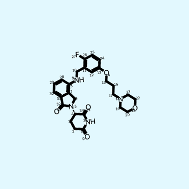 O=C1CC[C@H](N2Cc3c(NCc4cc(OCCCN5CCOCC5)ccc4F)cccc3C2=O)C(=O)N1